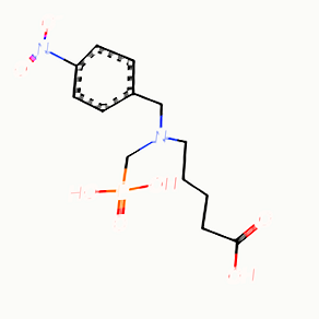 O=C(O)CCCCN(Cc1ccc([N+](=O)[O-])cc1)CP(=O)(O)O